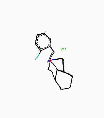 Cl.Fc1ccccc1/C=C/C1C2CCCC1CNC2